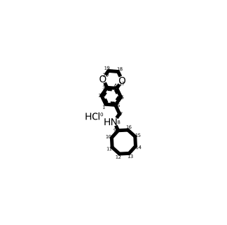 Cl.c1cc2c(cc1CNC1CCCCCCC1)OCCO2